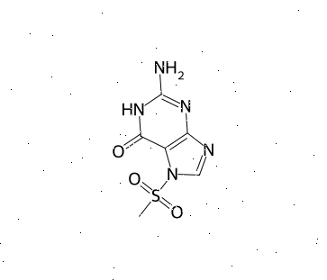 CS(=O)(=O)n1cnc2nc(N)[nH]c(=O)c21